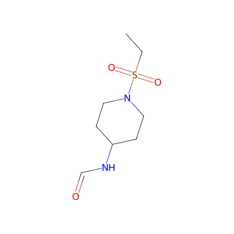 CCS(=O)(=O)N1CCC(NC=O)CC1